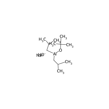 CC(C)[CH2][Al]([CH2]C(C)C)[O]C(C)(C)C.[Na+].[OH-]